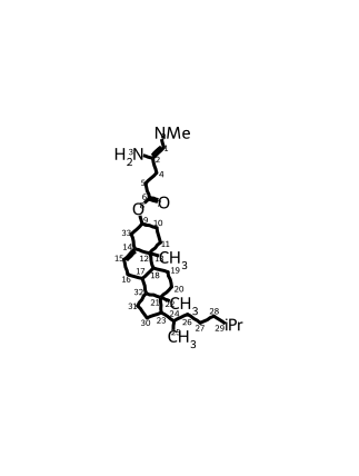 CN/C=C(\N)CCC(=O)OC1CCC2(C)C(=CCC3C2CCC2(C)C(C(C)CCCC(C)C)CCC32)C1